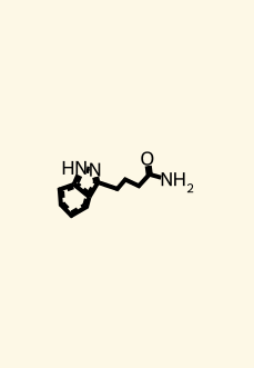 NC(=O)CCCc1n[nH]c2ccccc12